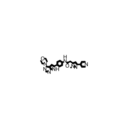 Cn1nc(-c2ccncc2)cc1CC(=O)Nc1ccc(-c2cc3c(N4CCOCC4)ncnc3[nH]2)cc1